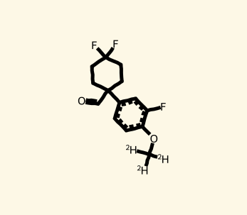 [2H]C([2H])([2H])Oc1ccc(C2(C=O)CCC(F)(F)CC2)cc1F